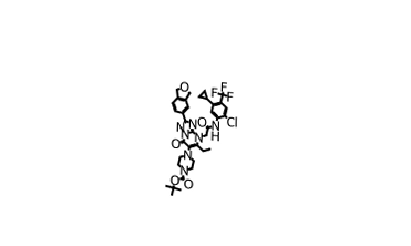 CCc1c(N2CCN(C(=O)OC(C)(C)C)CC2)c(=O)n2nc(-c3ccc4c(c3)COC4)nc2n1CC(=O)Nc1cc(C2CC2)c(C(F)(F)F)cc1Cl